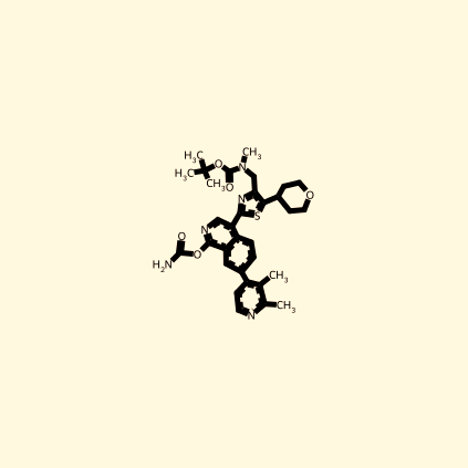 Cc1nccc(-c2ccc3c(-c4nc(CN(C)C(=O)OC(C)(C)C)c(C5CCOCC5)s4)cnc(OC(N)=O)c3c2)c1C